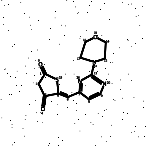 O=C1CC(=O)C(=Cc2ccnc(N3CCOCC3)n2)S1